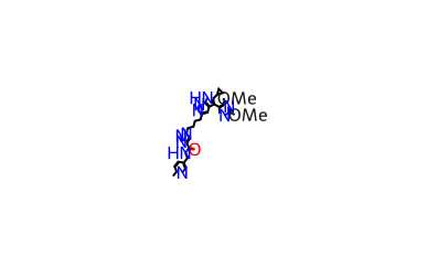 COc1ncc(-c2c(C3CC3)[nH]c3nnc(CCCCn4cc(C(=O)NCc5ccc(C)nc5)nn4)cc23)c(OC)n1